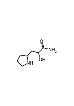 NC(=O)C(O)CC1CCCN1